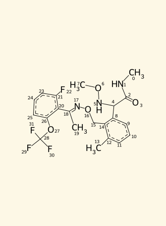 CNC(=O)C(NOC)c1cccc(C)c1CO/N=C(\C)c1c(F)cccc1OC(F)(F)F